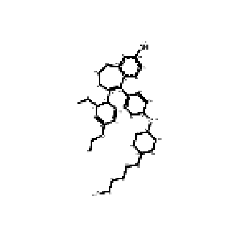 CCOC1=CC(CC)C(C2=C(C3=CCC(OC4CCC(CCCCCF)CC4)C=C3)c3ccc(O)cc3CCC2)C=C1